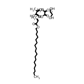 C=C(C)C(=O)O.C=C(C)C(=O)O.C=CC(=O)OCCCCCCCCCCCCCCCCCC.OCCO